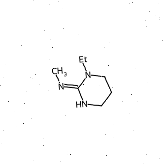 CCN1CCCN/C1=N/C